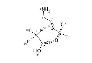 CS(=O)(=O)/C=C/CN.O=C(O)C(F)(F)F